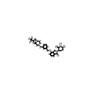 O=C1CCC(N2Cc3c(OCc4cccc(CN5CCn6nc(C(F)(F)F)nc6C5)c4)cccc3C2=O)C(=O)N1